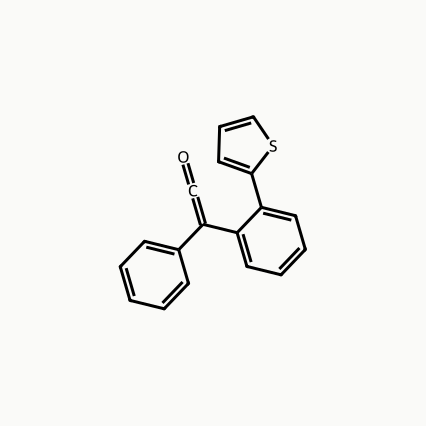 O=C=C(c1ccccc1)c1ccccc1-c1cccs1